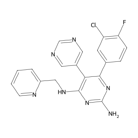 Nc1nc(NCc2ccccn2)c(-c2cncnc2)c(-c2ccc(F)c(Cl)c2)n1